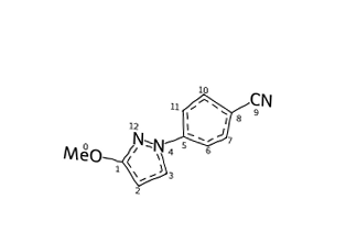 COc1ccn(-c2ccc(C#N)cc2)n1